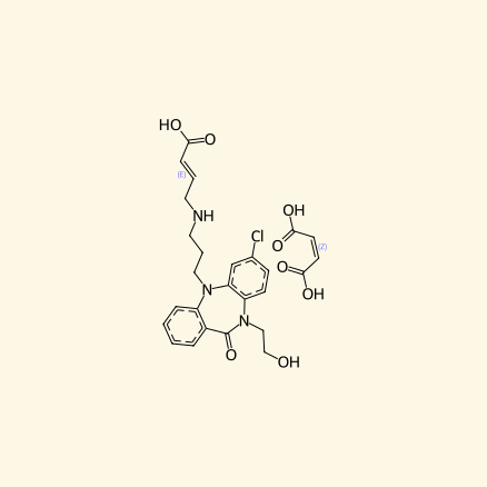 O=C(O)/C=C/CNCCCN1c2ccccc2C(=O)N(CCO)c2ccc(Cl)cc21.O=C(O)/C=C\C(=O)O